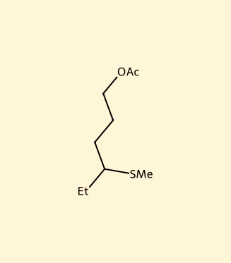 CCC(CCCOC(C)=O)SC